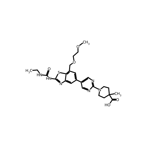 CCNC(=O)Nc1nc2cc(-c3cnc(N4CCC(C)(C(=O)O)CC4)nc3)cc(COCCOC)c2s1